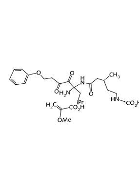 C=C(OC)C(=O)O.CC(C)CC(N)(NC(=O)CC(C)CCNC(=O)O)C(=O)C(=O)CCOc1ccccc1